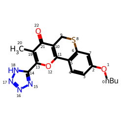 CCCCOc1ccc2c(c1)SCc1c-2oc(-c2nnn[nH]2)c(C)c1=O